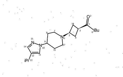 CCC(C)C(=O)[C@H]1C[C@@H](N2CCC(n3cc(C(C)C)cn3)CC2)C1